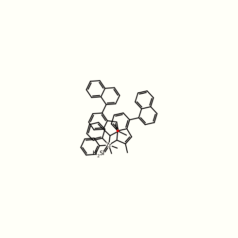 CC1=Cc2c(-c3cccc4ccccc34)cccc2[CH]1[Zr]([CH3])([CH3])(=[SiH2])([c]1ccccc1)([c]1ccccc1)[CH]1C(C)=Cc2c(-c3cccc4ccccc34)cccc21